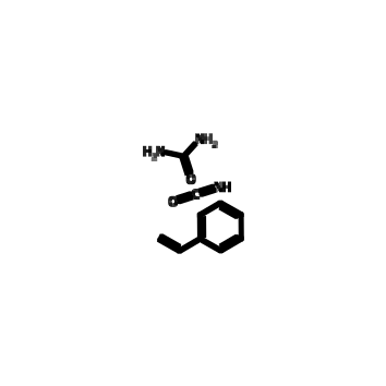 C=Cc1ccccc1.N=C=O.NC(N)=O